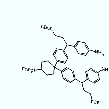 CCCCCCCCCCCCC(c1ccc(N)cc1)c1ccc(C2(c3ccc(C(CCCCCCCCCCCC)c4ccc(N)cc4)cc3)CCC(CCCCCCC)CC2)cc1